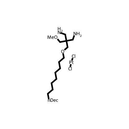 CCCCCCCCCCCCCCCCCCOCC(CN)(CN)COC.[Cl][Pt][Cl]